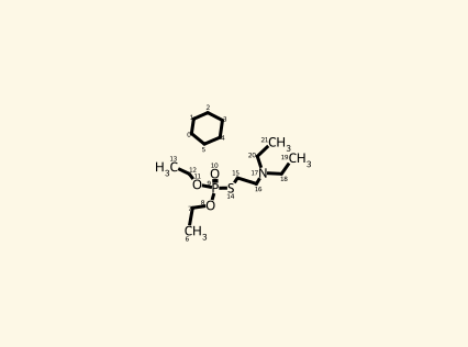 C1CCCCC1.CCOP(=O)(OCC)SCCN(CC)CC